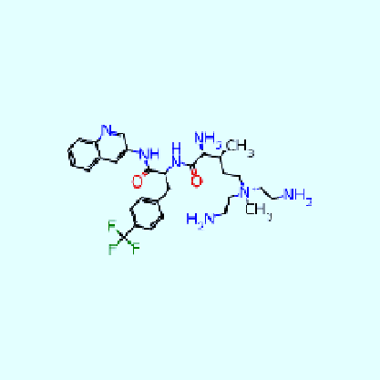 C[C@@H](CC[N+](C)(CCN)CCN)[C@H](N)C(=O)N[C@@H](Cc1ccc(C(F)(F)F)cc1)C(=O)Nc1cnc2ccccc2c1